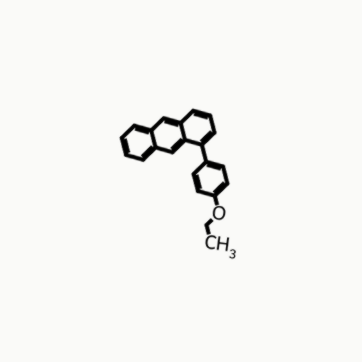 CCOc1ccc(-c2cccc3cc4ccccc4cc23)cc1